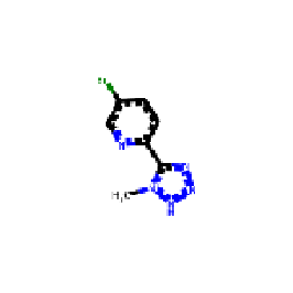 C[n+]1[nH]nnc1-c1ccc(Br)cn1